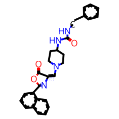 O=C(NCCc1ccccc1)NC1CCN(/C=C2/N=C(c3cccc4ccccc34)OC2=O)CC1